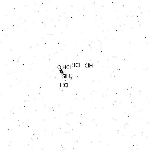 Cl.Cl.Cl.Cl.O=[SiH2]